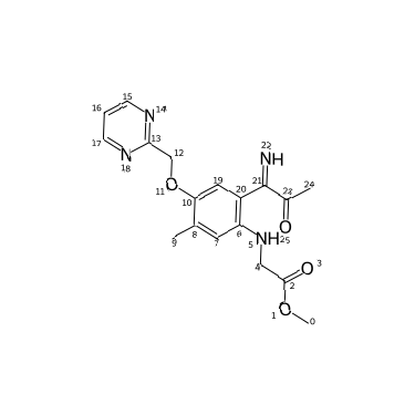 COC(=O)CNc1cc(C)c(OCc2ncccn2)cc1C(=N)C(C)=O